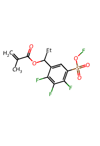 C=C(C)C(=O)OC(CC)c1cc(S(=O)(=O)OF)c(F)c(F)c1F